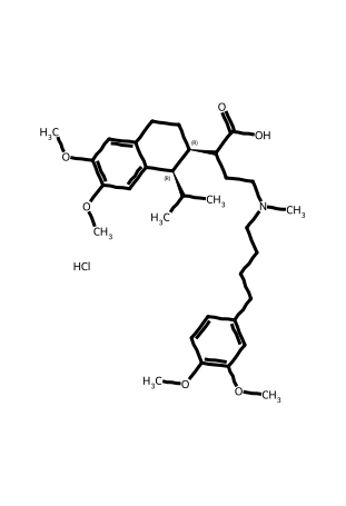 COc1ccc(CCCCN(C)CCC(C(=O)O)[C@@H]2CCc3cc(OC)c(OC)cc3[C@@H]2C(C)C)cc1OC.Cl